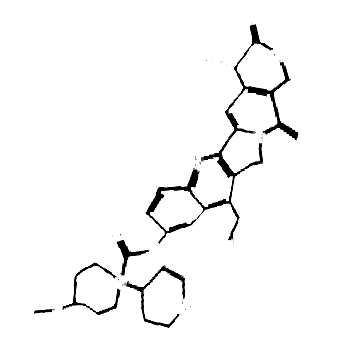 CCc1c2c(nc3ccc(OC(=O)[N+]4(C5CCNCC5)CCC(CC)CC4)cc13)-c1cc3c(c(=O)n1C2)COC(=O)[C@H]3O.Cl